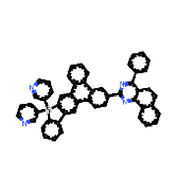 c1ccc(-c2nc(-c3ccc4c(c3)c3ccccc3c3cc5c(cc43)-c3ccccc3[Si]5(c3cccnc3)c3cccnc3)nc3c2ccc2ccccc23)cc1